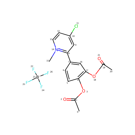 CC(=O)Oc1ccc(-c2cc(Cl)cc[n+]2C)cc1OC(C)=O.F[B-](F)(F)F